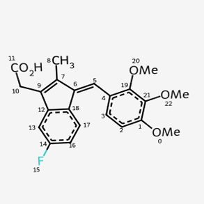 COc1ccc(/C=C2/C(C)=C(CC(=O)O)c3cc(F)ccc32)c(OC)c1OC